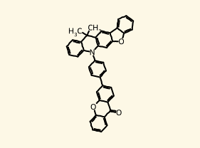 CC1(C)c2ccccc2N(c2ccc(-c3ccc4c(=O)c5ccccc5oc4c3)cc2)c2cc3oc4ccccc4c3cc21